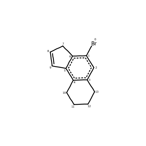 Brc1cc2c(c3c1CC=C3)CCCC2